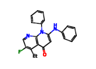 CCc1c(F)cnc2c1c(=O)cc(Nc1ccccc1)n2-c1ccccc1